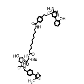 Cc1ncsc1-c1ccc(CNC(=O)[C@@H]2C[C@H](O)CN2C(=O)[C@@H](NC(=O)CCCCCCCCCNC(=O)c2ccc(CCOc3cc(-c4ccccc4O)nnc3N)cc2)C(C)(C)C)cc1